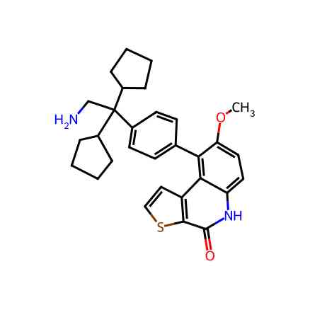 COc1ccc2[nH]c(=O)c3sccc3c2c1-c1ccc(C(CN)(C2CCCC2)C2CCCC2)cc1